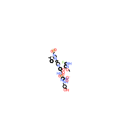 CCOc1nc2[nH]cc(F)c2cc1Oc1cc(N2CCC3(CC2)CC(N2CCN(CCS(C)(=O)=O)C[C@H]2c2ccccc2C(C)C)C3)ccc1C(=O)NS(=O)(=O)c1cnc(NCC2CCC(C)(O)CC2)c([N+](=O)[O-])c1